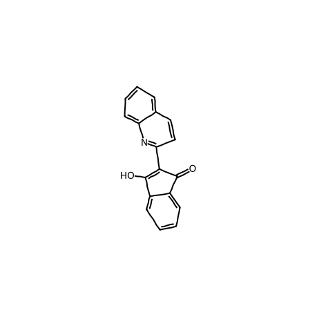 O=C1C(c2ccc3ccccc3n2)=C(O)c2ccccc21